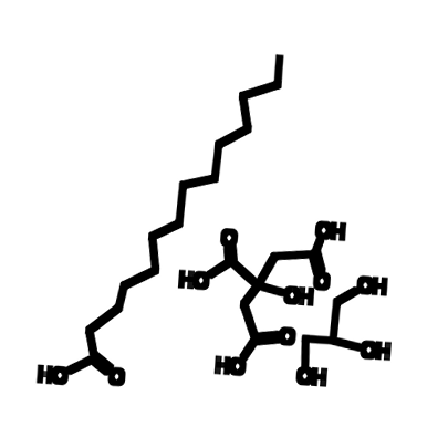 CCCCCCCCCCCCCC(=O)O.O=C(O)CC(O)(CC(=O)O)C(=O)O.OCC(O)CO